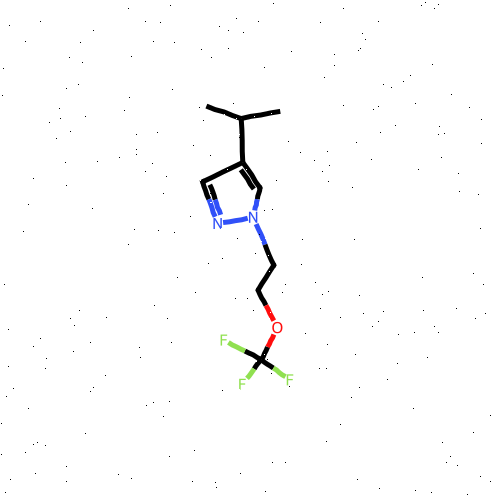 CC(C)c1cnn(CCOC(F)(F)F)c1